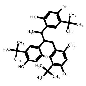 Cc1cc(O)c(C(C)(C)C)cc1CC(c1cc(C(C)(C)C)c(O)cc1C)C(C)c1cc(C(C)(C)C)c(O)cc1C